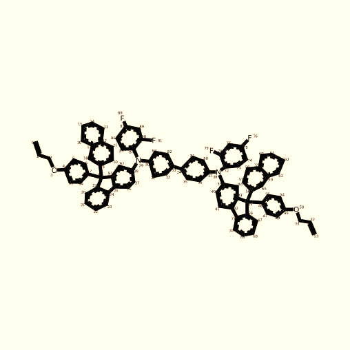 C=CCOc1ccc(C2(c3ccc4ccccc4c3)c3ccccc3-c3ccc(N(c4ccc(-c5ccc(N(c6ccc7c(c6)C(c6ccc(OCC=C)cc6)(c6ccc8ccccc8c6)c6ccccc6-7)c6ccc(F)cc6F)cc5)cc4)c4ccc(F)cc4F)cc32)cc1